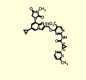 CCOC(=O)c1cnc(NC(=O)[C@H]2C[C@@H]2c2nccc(C)n2)nc1OCc1cn2cc(C3CC3)cc(N3CC(=O)N(C)C3=O)c2n1